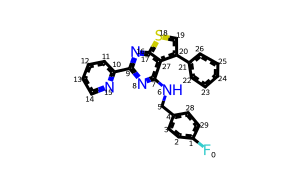 Fc1ccc(CNc2nc(-c3ccccn3)nc3scc(-c4ccccc4)c23)cc1